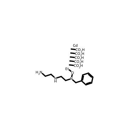 CC(=O)O.CC(=O)O.CC(=O)O.CC(=O)O.CC(=O)O.CCON(CCNCCN)Cc1ccccc1.[Gd]